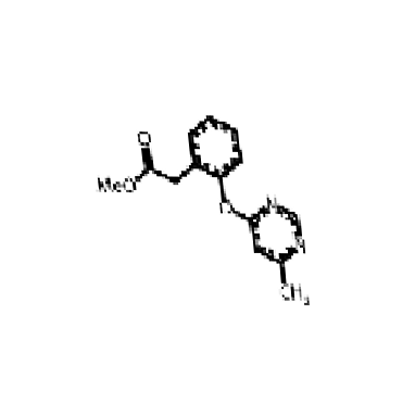 COC(=O)Cc1ccccc1Oc1cc(C)ncn1